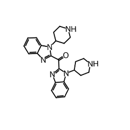 O=C(c1nc2ccccc2n1C1CCNCC1)c1nc2ccccc2n1C1CCNCC1